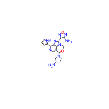 CCn1c(-c2nonc2N)nc2c(-c3ccc[nH]3)ncc(C(=O)N3CCC(N)C3)c21